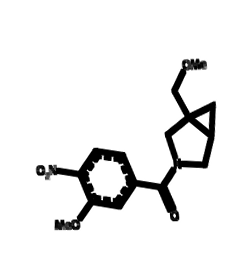 COCC12CC1CN(C(=O)c1ccc([N+](=O)[O-])c(OC)c1)C2